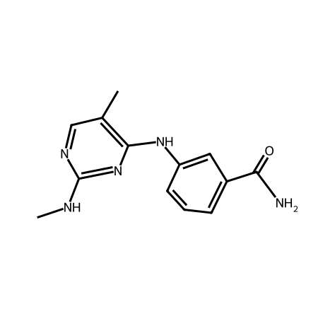 CNc1ncc(C)c(Nc2cccc(C(N)=O)c2)n1